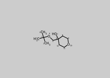 CC(C)(C)OCC1(O)CCOCC1